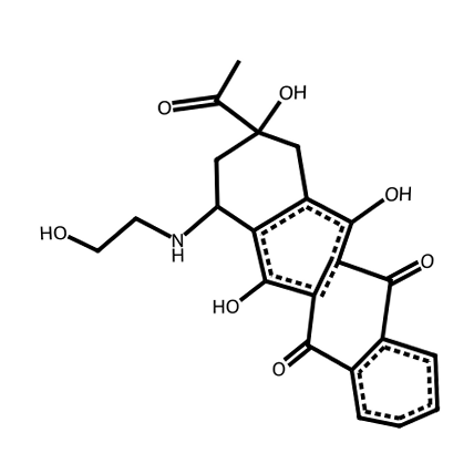 CC(=O)C1(O)Cc2c(O)c3c(c(O)c2C(NCCO)C1)C(=O)c1ccccc1C3=O